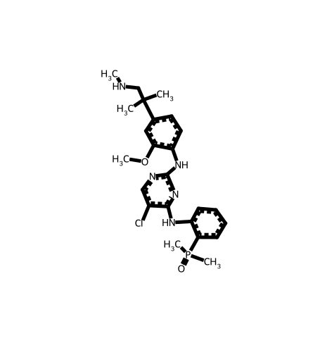 CNCC(C)(C)c1ccc(Nc2ncc(Cl)c(Nc3ccccc3P(C)(C)=O)n2)c(OC)c1